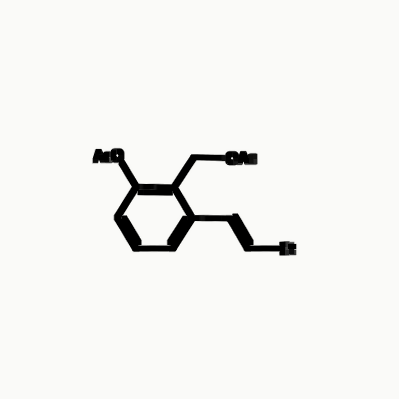 CC/C=C/c1cccc(OC(C)=O)c1COC(C)=O